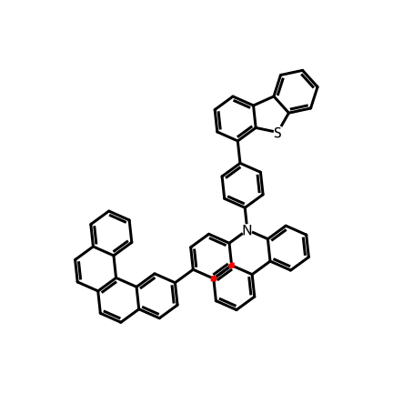 c1ccc(-c2ccccc2N(c2ccc(-c3ccc4ccc5ccc6ccccc6c5c4c3)cc2)c2ccc(-c3cccc4c3sc3ccccc34)cc2)cc1